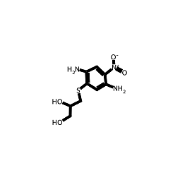 Nc1cc([N+](=O)[O-])c(N)cc1SCC(O)CO